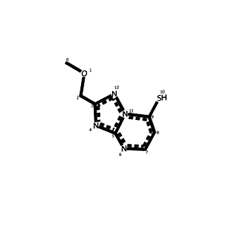 COCc1nc2nccc(S)n2n1